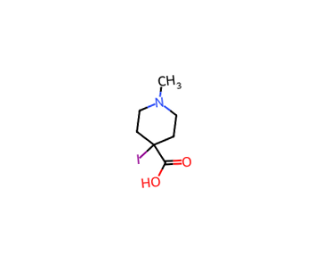 CN1CCC(I)(C(=O)O)CC1